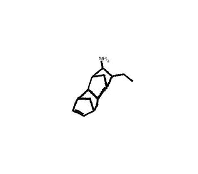 CCC1C(N)C2CC1C1C3C=CC(C3)C21